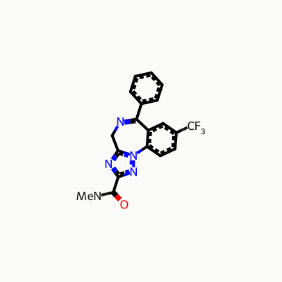 CNC(=O)c1nc2n(n1)-c1ccc(C(F)(F)F)cc1C(c1ccccc1)=NC2